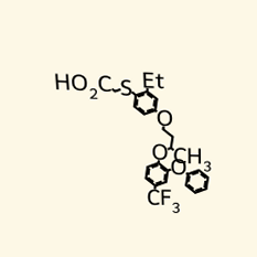 CCc1cc(OCCC(C)Oc2ccc(C(F)(F)F)cc2Oc2ccccc2)ccc1SCC(=O)O